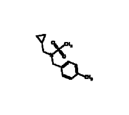 Cc1ccc(CN(CC2CC2)S(C)(=O)=O)cc1